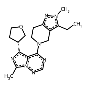 CCc1c2c(nn1C)CCN(c1ncnn3c(C)nc([C@@H]4CCOC4)c13)C2